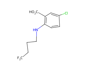 O=C(O)c1cc(Cl)ccc1NCCCC(F)(F)F